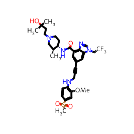 COc1cc(S(C)(=O)=O)ccc1NCC#Cc1cc(C(=O)N[C@H]2CCN(CCC(C)(C)O)C[C@@H]2C)c2ncn(CC(F)(F)F)c2c1